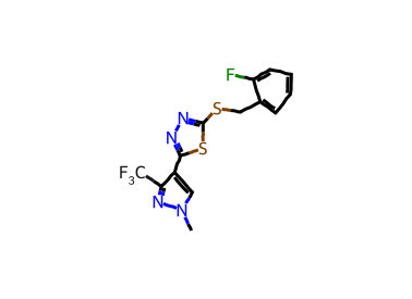 Cn1cc(-c2nnc(SCc3ccccc3F)s2)c(C(F)(F)F)n1